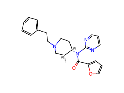 C[C@@H]1CN(CCc2ccccc2)CC[C@@H]1N(C(=O)c1ccco1)c1ncccn1